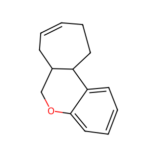 C1=CCC2COc3ccccc3C2CC1